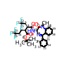 CN1C(=O)[C@@H](NC(=O)[C@H](CC(F)(F)F)[C@H](CCC(F)(F)F)C(=O)OC(C)(C)C)N=C(c2ccccc2)c2ccccc21